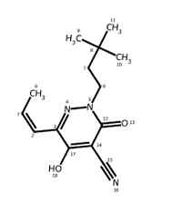 C/C=C\c1nn(CCC(C)(C)C)c(=O)c(C#N)c1O